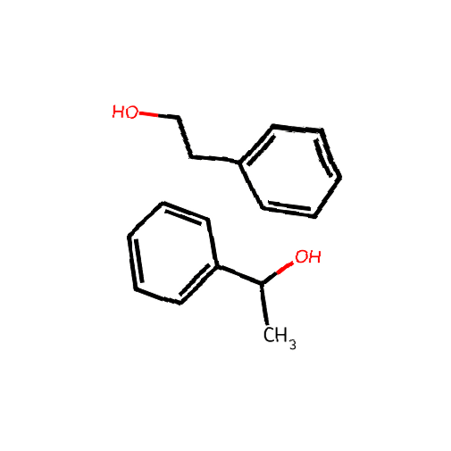 CC(O)c1ccccc1.OCCc1ccccc1